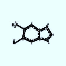 Nc1cc2ncsc2cc1Br